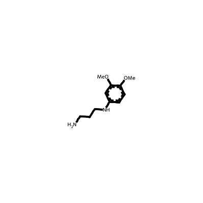 COc1ccc(NCCCN)cc1OC